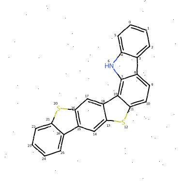 c1ccc2c(c1)[nH]c1c2ccc2sc3cc4c(cc3c21)sc1ccccc14